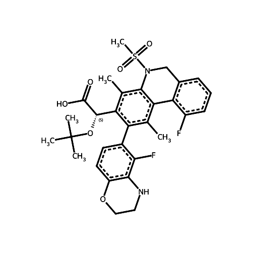 Cc1c(-c2ccc3c(c2F)NCCO3)c([C@H](OC(C)(C)C)C(=O)O)c(C)c2c1-c1c(F)cccc1CN2S(C)(=O)=O